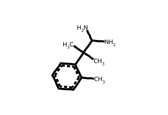 Cc1ccccc1C(C)(C)C(N)N